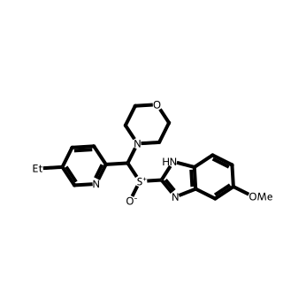 CCc1ccc(C(N2CCOCC2)[S+]([O-])c2nc3cc(OC)ccc3[nH]2)nc1